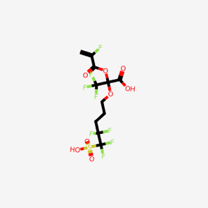 C=C(F)C(=O)OC(OCCCC(F)(F)C(F)(F)S(=O)(=O)O)(C(=O)O)C(F)(F)F